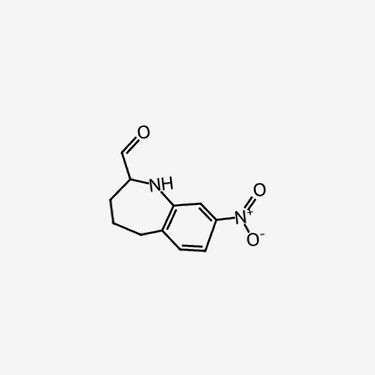 O=CC1CCCc2ccc([N+](=O)[O-])cc2N1